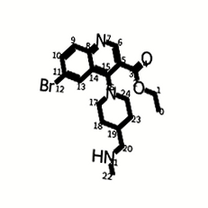 CCOC(=O)c1cnc2ccc(Br)cc2c1N1CCC(CNC)CC1